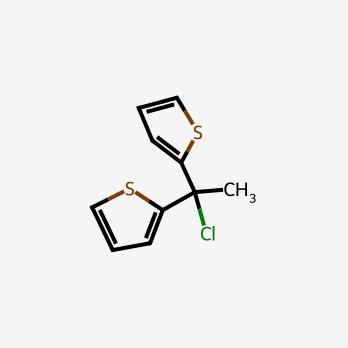 CC(Cl)(c1cccs1)c1cccs1